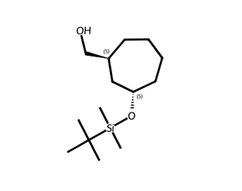 CC(C)(C)[Si](C)(C)O[C@H]1CCCC[C@H](CO)C1